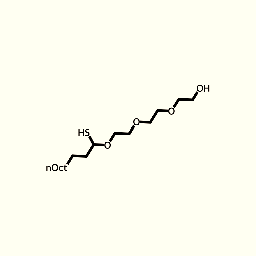 CCCCCCCCCCC(S)OCCOCCOCCO